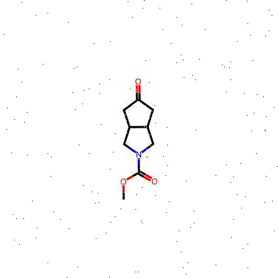 COC(=O)N1CC2CC(=O)CC2C1